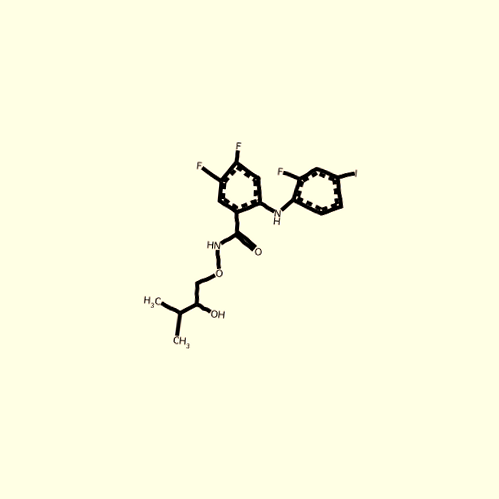 CC(C)C(O)CONC(=O)c1cc(F)c(F)cc1Nc1ccc(I)cc1F